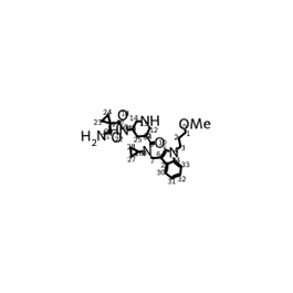 COCCCn1cc(CN(C(=O)[C@@H]2CNC[C@H](NC(=O)C3(C(N)=O)CC3)C2)C2CC2)c2ccccc21